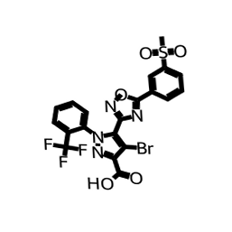 CS(=O)(=O)c1cccc(-c2nc(-c3c(Br)c(C(=O)O)nn3-c3ccccc3C(F)(F)F)no2)c1